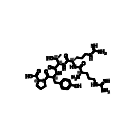 C[C@@H](O)[C@H](NC(=O)[C@H](CCCNC(=N)N)NC(=O)[C@@H](N)CCCNC(=N)N)C(=O)N[C@@H](Cc1ccc(O)cc1)C(=O)N1CCC[C@H]1C(=O)O